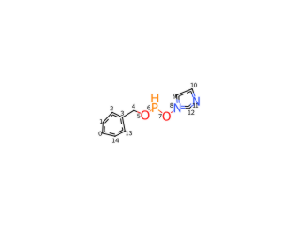 c1ccc(COPOn2ccnc2)cc1